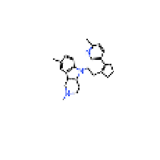 Cc1ccc2c(c1)c1c(n2CCC2=C(c3ccc(C)nc3)CCC2)CCN(C)C1